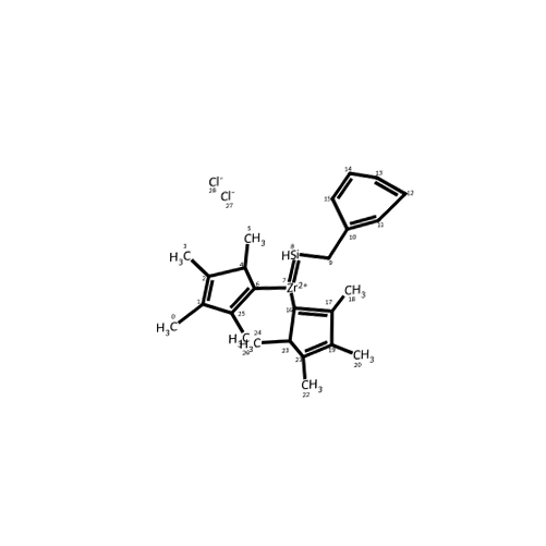 CC1=C(C)C(C)[C]([Zr+2](=[SiH]Cc2ccccc2)[C]2=C(C)C(C)=C(C)C2C)=C1C.[Cl-].[Cl-]